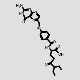 CCC(CC)C(=O)CCC(NC(=O)c1ccc(NCc2cnc3nc(N)[nH]c(=O)c3n2)cc1)C(=O)O